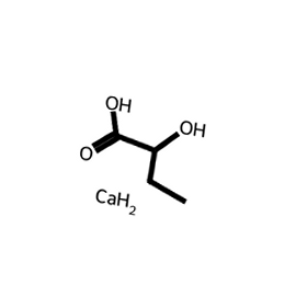 CCC(O)C(=O)O.[CaH2]